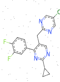 Fc1ccc(-c2nc(C3CC3)ncc2Cc2ncc(Cl)cn2)cc1F